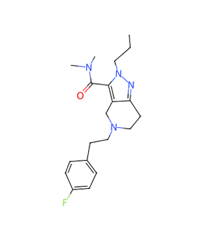 CCCn1nc2c(c1C(=O)N(C)C)CN(CCc1ccc(F)cc1)CC2